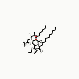 CCCCCCCCCCC(C(=O)OCC)N(C(=O)CO[C@H](C)[C@@H](C)OCC(=O)N(C)C)C(CCCCCCCCCC)C(=O)OCC